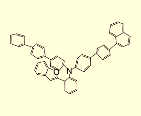 c1ccc(-c2ccc(-c3ccc(N(c4ccc(-c5ccc(-c6cccc7ccccc67)cc5)cc4)c4ccccc4-c4cc5ccccc5o4)cc3)cc2)cc1